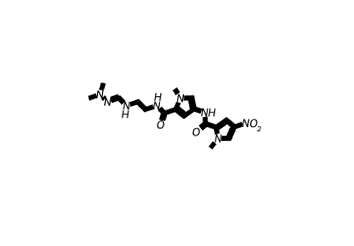 CN(C)N=CNCCNC(=O)c1cc(NC(=O)c2cc([N+](=O)[O-])cn2C)cn1C